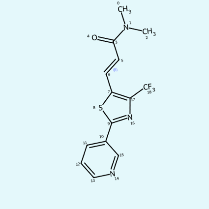 CN(C)C(=O)/C=C/c1sc(-c2cccnc2)nc1C(F)(F)F